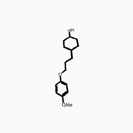 CCCC1CCC(CCCOc2ccc(OC)cc2)CC1